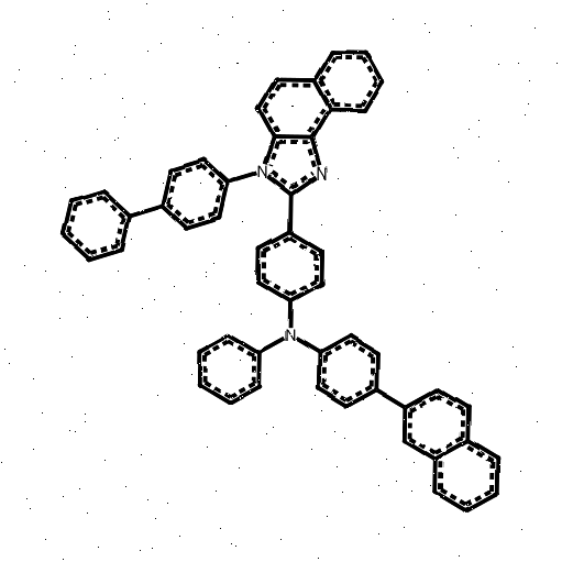 c1ccc(-c2ccc(-n3c(-c4ccc(N(c5ccccc5)c5ccc(-c6ccc7ccccc7c6)cc5)cc4)nc4c5ccccc5ccc43)cc2)cc1